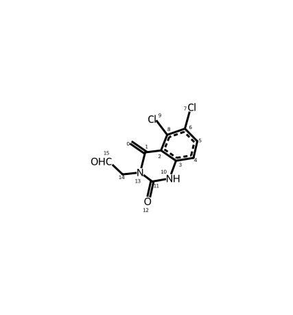 C=C1c2c(ccc(Cl)c2Cl)NC(=O)N1CC=O